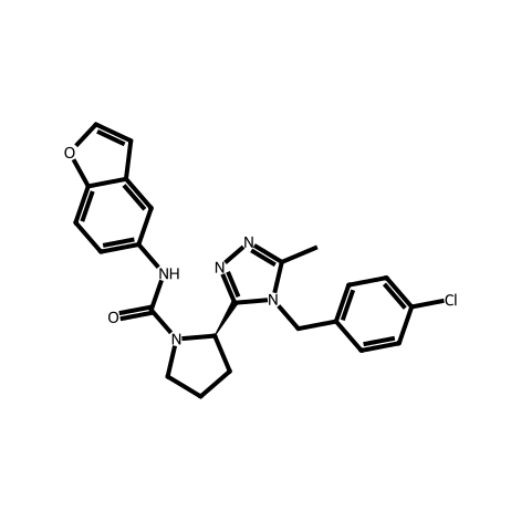 Cc1nnc([C@H]2CCCN2C(=O)Nc2ccc3occc3c2)n1Cc1ccc(Cl)cc1